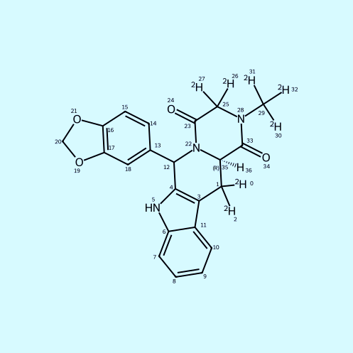 [2H]C1([2H])c2c([nH]c3ccccc23)C(c2ccc3c(c2)OCO3)N2C(=O)C([2H])([2H])N(C([2H])([2H])[2H])C(=O)[C@H]21